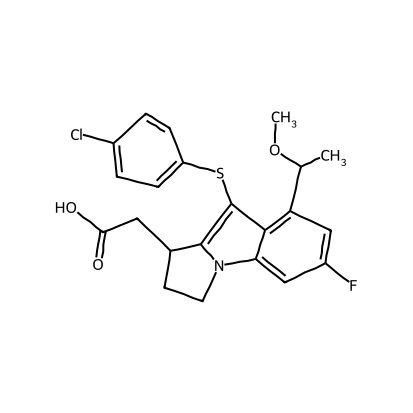 COC(C)c1cc(F)cc2c1c(Sc1ccc(Cl)cc1)c1n2CCC1CC(=O)O